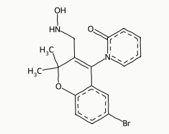 CC1(C)Oc2ccc(Br)cc2C(n2ccccc2=O)=C1CNO